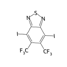 FC(F)(F)c1c(C(F)(F)F)c(I)c2nsnc2c1I